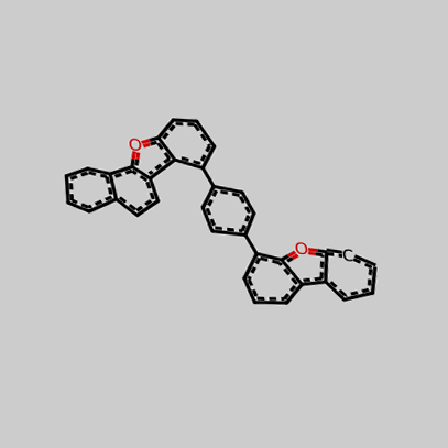 c1ccc2c(c1)ccc1c2oc2cccc(-c3ccc(-c4cccc5c4oc4ccccc45)cc3)c21